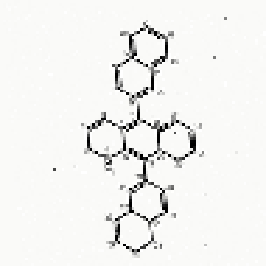 B1CC=CC2=C(c3ccc4ccccc4c3)C3=CC=CCC3C(C3=CC4C=CCCC4C=C3)=C12